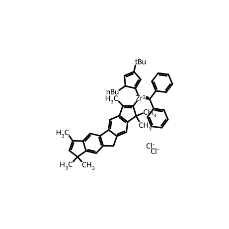 CCCCC1C=C(C(C)(C)C)C=[C]1[Zr+2]([C]1=C(C)c2cc3c(cc2C1(C)C)Cc1cc2c(cc1-3)C(C)=CC2(C)C)=[C](c1ccccc1)c1ccccc1.[Cl-].[Cl-]